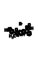 CCCc1nc(C)c(-c2ccc3[nH]ccc3c2)c(=O)n1Cc1ccc(-c2ccccc2-c2noc(=O)[nH]2)cc1.[K]